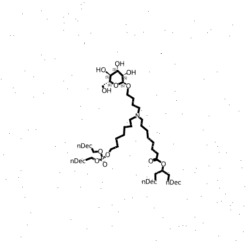 CCCCCCCCCCCOP(=O)(OCCCCCCCCCCC)OCCCCCCCN(CCCCCCCC(=O)OC(CCCCCCCCCCC)CCCCCCCCCCC)CCCCO[C@H]1O[C@H](CO)[C@@H](O)[C@H](O)[C@@H]1O